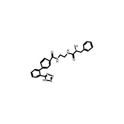 O=C(NCCNC(=O)[C@@H](S)Cc1ccccc1)c1ccc(-c2ccccc2-c2nnn[nH]2)cc1